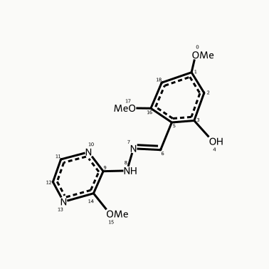 COc1cc(O)c(/C=N/Nc2nccnc2OC)c(OC)c1